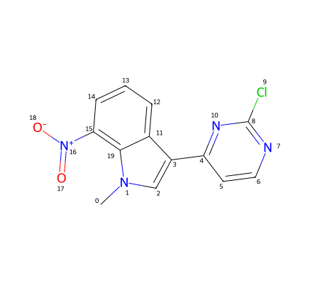 Cn1cc(-c2ccnc(Cl)n2)c2cccc([N+](=O)[O-])c21